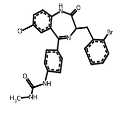 CNC(=O)Nc1ccc(C2=NC(Cc3ccccc3Br)C(=O)Nc3ccc(Cl)cc32)cc1